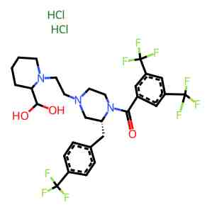 Cl.Cl.O=C(c1cc(C(F)(F)F)cc(C(F)(F)F)c1)N1CCN(CCN2CCCCC2C(O)O)C[C@H]1Cc1ccc(C(F)(F)F)cc1